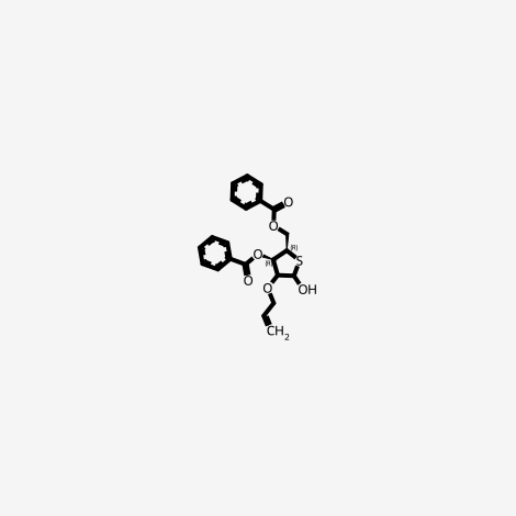 C=CCOC1C(O)S[C@H](COC(=O)c2ccccc2)[C@@H]1OC(=O)c1ccccc1